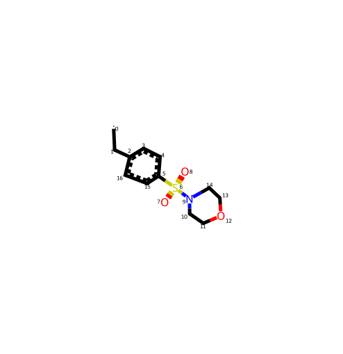 [CH2]Cc1ccc(S(=O)(=O)N2CCOCC2)cc1